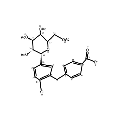 CCC(=O)c1ccc(Cc2cc([C@@H]3OC(COC(C)=O)C(OC(C)=O)[C@H](OC(C)=O)[C@H]3OC(C)=O)ccc2Cl)cc1